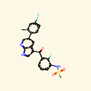 Cc1cc(F)ccc1-c1cnc2[nH]cc(C(=O)c3cccc(NS(C)(=O)=O)c3F)c2c1